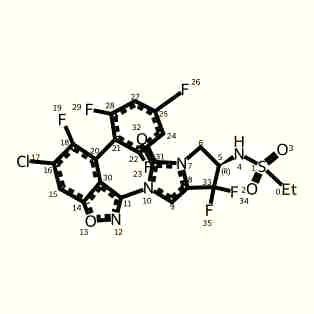 CCS(=O)(=O)N[C@@H]1Cn2c(cn(-c3noc4cc(Cl)c(F)c(-c5c(F)cc(F)cc5F)c34)c2=O)C1(F)F